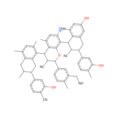 Cc1ccc(C2Cc3cc(O)cc(N=O)c3C(c3c(N)cc(C)c4c3OC(c3ccc(C)c(CN=O)c3)C(C#N)C4c3c(C)cc(C)c4c3CC(c3ccc(C#N)c(O)c3)C(C)C4)C2C#N)cc1O